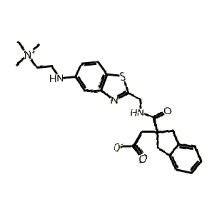 C[N+](C)(C)CCNc1ccc2sc(CNC(=O)C3(CC(=O)[O-])Cc4ccccc4C3)nc2c1